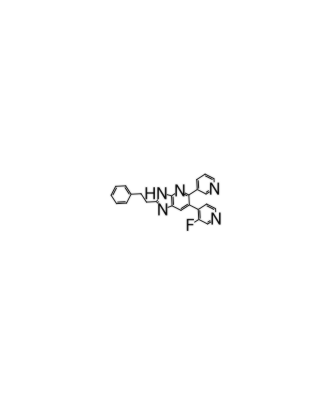 Fc1cnccc1-c1cc2nc(CCc3ccccc3)[nH]c2nc1-c1cccnc1